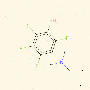 Bc1c(F)cc(F)c(F)c1F.CN(C)C